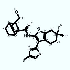 Cc1csc(-c2c(NC(=O)C3=C(CO)C4CCC3CC4)sc3c2CCC(F)(F)C3)n1